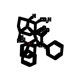 C[C@@H](c1ccccc1)N(C)C(=O)N1[C@H]2CC[C@@H]1[C@@H](C(=O)O)N(C(=O)N(c1ccccc1)c1ccccc1)C2